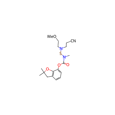 COCCN(CCC#N)SN(C)C(=O)Oc1cccc2c1OC(C)(C)C2